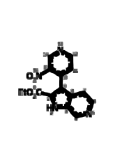 CCOC(=O)c1[nH]c2cnccc2c1-c1ccncc1[N+](=O)[O-]